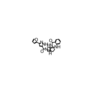 O=C1N[C@]2(CC[C@@H]3CN(C(=O)c4cc(-c5ccco5)n[nH]4)C[C@@H]32)Nc2ccccc21